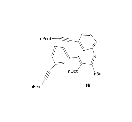 CCCCCC#Cc1cccc(N=C(CCCC)C(CCCCCCCC)=Nc2cccc(C#CCCCCC)c2)c1.[Ni]